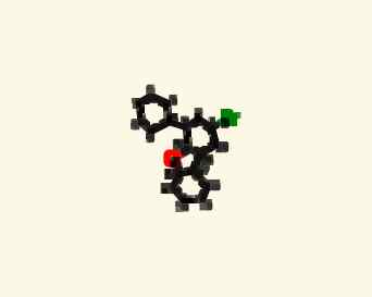 Brc1cc(-c2ccccc2)c2oc3ccccc3c2c1